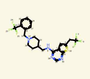 FC(F)(F)Cc1cc2c(NCC3CCN(Cc4ccccc4C(F)(F)F)CC3)ncnc2s1